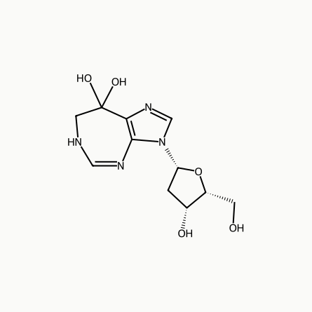 OC[C@H]1O[C@@H](n2cnc3c2N=CNCC3(O)O)C[C@H]1O